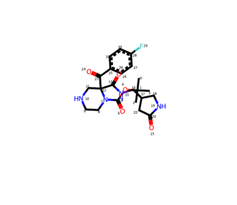 CC(C)(C)OC(=O)N1CCNCC1(C(=O)NCC1CNC(=O)C1)C(=O)c1ccc(F)cc1